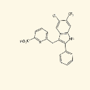 O=C(O)c1cccc(Cc2c(-c3ccccc3)[nH]c3cc(C(F)(F)F)c(Cl)cc23)n1